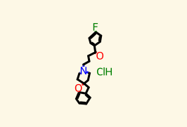 Cl.O=C(CCCN1CCC2(CC1)Cc1ccccc1O2)c1ccc(F)cc1